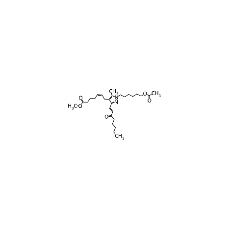 CCCCCC(=O)C=Cc1nn(CCCCCCOC(C)=O)c(C)c1C/C=C\CCCC(=O)OC